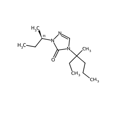 CCCC(C)(CC)n1cnn([C@H](C)CC)c1=O